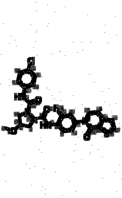 CO[C@@H]1C[C@H](C(=O)Nc2ccc(-n3ccc4ccsc4c3=O)cc2F)N(C(=O)Nc2ccc(Cl)cc2)C1